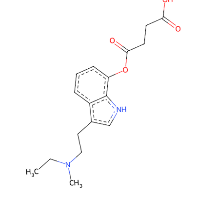 CCN(C)CCc1c[nH]c2c(OC(=O)CCC(=O)O)cccc12